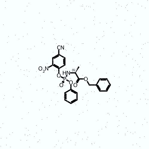 C[C@H](NP(=O)(Oc1ccccc1)Oc1ccc(C#N)cc1[N+](=O)[O-])C(=O)OCc1ccccc1